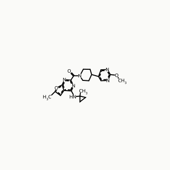 COc1ncc(C2CCN(C(=O)c3nc(NC4(C)CC4)c4cc(C)oc4n3)CC2)cn1